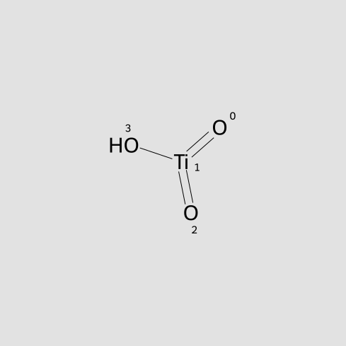 [O]=[Ti](=[O])[OH]